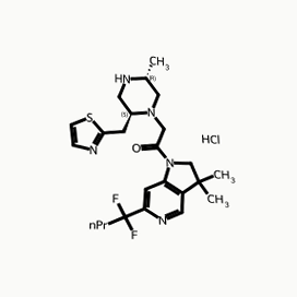 CCCC(F)(F)c1cc2c(cn1)C(C)(C)CN2C(=O)CN1C[C@@H](C)NC[C@@H]1Cc1nccs1.Cl